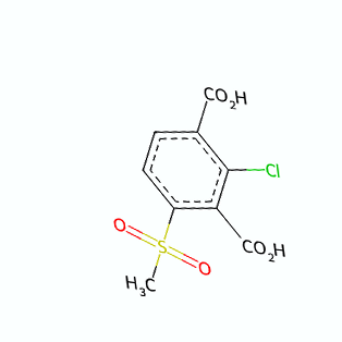 CS(=O)(=O)c1ccc(C(=O)O)c(Cl)c1C(=O)O